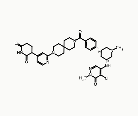 CN1C[C@H](Nc2cnn(C)c(=O)c2Cl)C[C@H](c2ccc(C(=O)N3CCC4(CC3)CCN(c3cc(C5CCC(=O)NC5=O)ccn3)CC4)cc2)C1